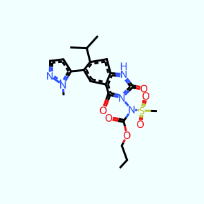 CCCOC(=O)N(n1c(=O)[nH]c2cc(C(C)C)c(-c3ccnn3C)cc2c1=O)S(C)(=O)=O